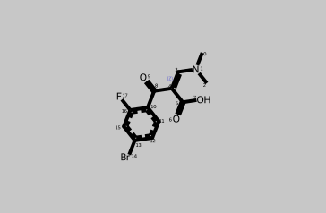 CN(C)/C=C(\C(=O)O)C(=O)c1ccc(Br)cc1F